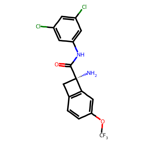 N[C@@]1(C(=O)Nc2cc(Cl)cc(Cl)c2)Cc2ccc(OC(F)(F)F)cc21